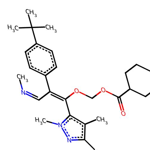 C/N=C\C(=C(\OCOC(=O)C1CCCCC1)c1c(C)c(C)nn1C)c1ccc(C(C)(C)C)cc1